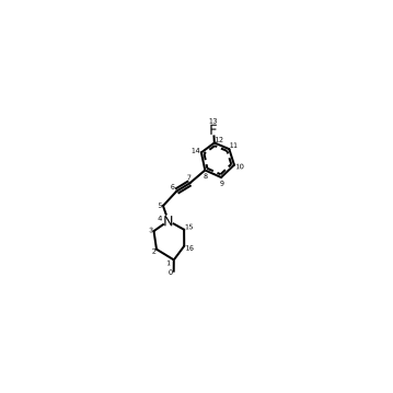 CC1CCN(CC#Cc2cccc(F)c2)CC1